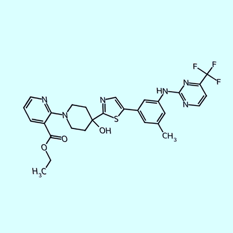 CCOC(=O)c1cccnc1N1CCC(O)(c2ncc(-c3cc(C)cc(Nc4nccc(C(F)(F)F)n4)c3)s2)CC1